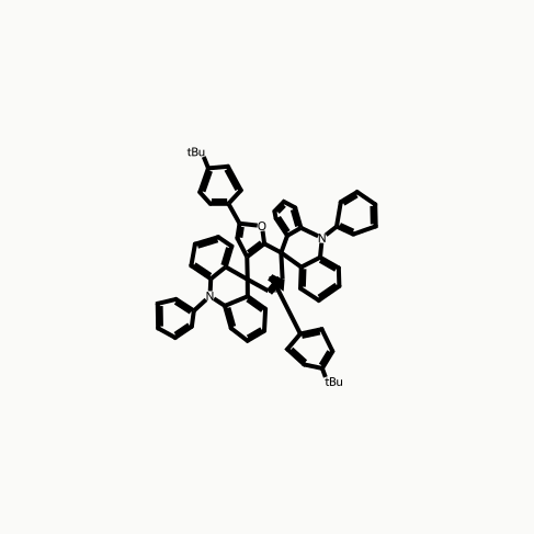 CC(C)(C)c1ccc(-c2cc3c(o2)C2(c4ccccc4N(c4ccccc4)c4ccccc42)c2cc(-c4ccc(C(C)(C)C)cc4)oc2C32c3ccccc3N(c3ccccc3)c3ccccc32)cc1